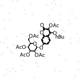 CCCCOc1c(OC(C)=O)c(=O)oc2cc(O[C@H]3O[C@H](COC(C)=O)[C@@H](OC(C)=O)[C@H](OC(C)=O)[C@@H]3OC(C)=O)ccc12